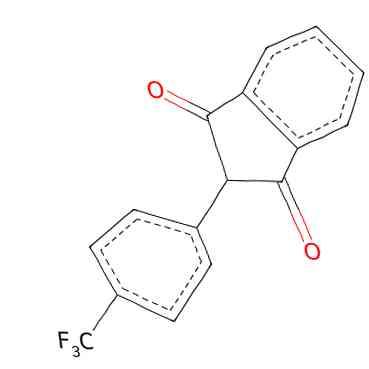 O=C1c2ccccc2C(=O)C1c1ccc(C(F)(F)F)cc1